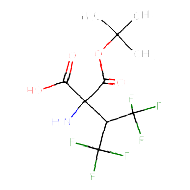 CC(C)(C)OC(=O)C(N)(C(=O)O)C(C(F)(F)F)C(F)(F)F